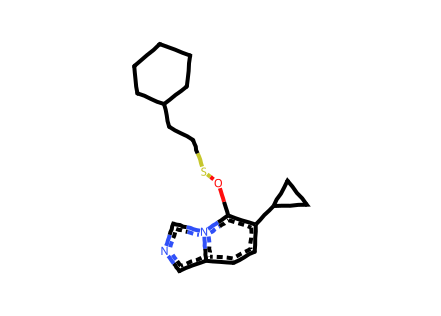 c1cc2cncn2c(OSCCC2CCCCC2)c1C1CC1